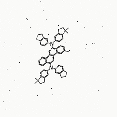 Cc1ccc2c(N(c3ccc4c(c3)CCC4)c3ccc4c(c3)CCC4(C)C)cc3c4ccccc4c(N(c4ccc5c(c4)CCC5)c4ccc5c(c4)CCC5(C)C)cc3c2c1